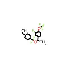 CCc1ccc(C(F)(F)OC(C)c2ccc(OC(F)(F)F)c(F)c2)cc1